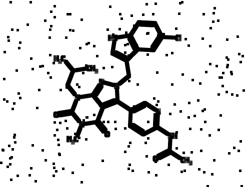 CC(=O)Nc1ccc(-c2c3c(=O)n(C)c(=O)n(CC(C)C)c3nn2Cc2c[nH]c3ccc(Cl)cc23)cn1